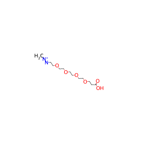 C=[N+]=NCCOCCOCCOCCOCCC(=O)O